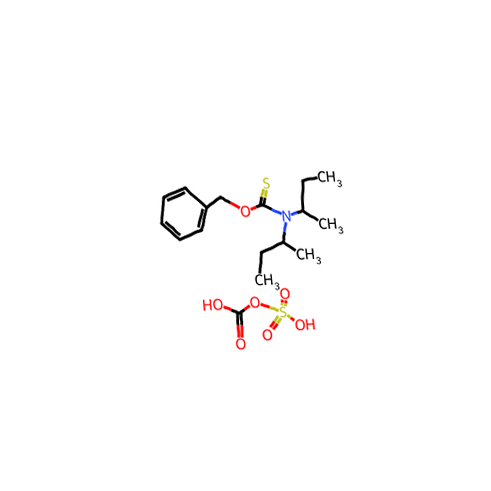 CCC(C)N(C(=S)OCc1ccccc1)C(C)CC.O=C(O)OS(=O)(=O)O